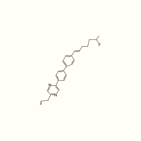 C=CCc1cnc(-c2ccc(-c3ccc(C=CCCCC(C)F)cc3)cc2)cn1